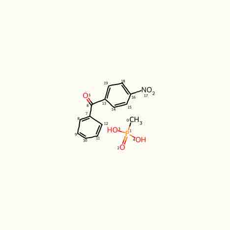 CP(=O)(O)O.O=C(c1ccccc1)c1ccc([N+](=O)[O-])cc1